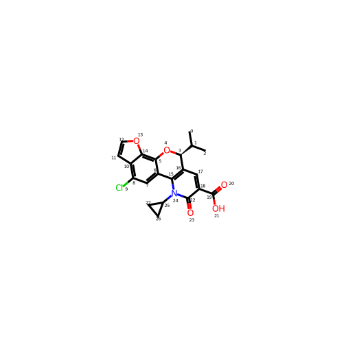 CC(C)[C@@H]1Oc2c(cc(Cl)c3ccoc23)-c2c1cc(C(=O)O)c(=O)n2C1CC1